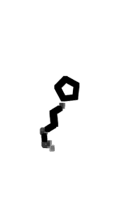 C1CCCC1.FC=COC(F)(F)F